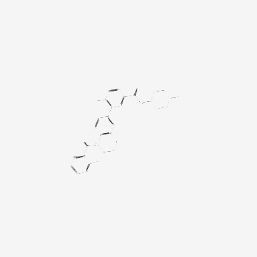 CN1CCC(NC(=O)c2ccc(Cl)c(-c3ccc4c(c3)CCCN4C(=O)c3c(F)cccc3Cl)c2)CC1